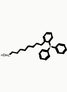 CCCCCCCCCCCCCCCCCCc1ccccc1P(c1ccccc1)c1ccccc1